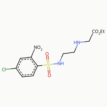 CCOC(=O)CNCCNS(=O)(=O)c1ccc(Cl)cc1[N+](=O)[O-]